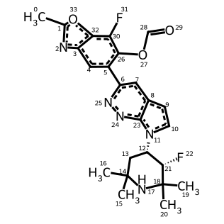 Cc1nc2cc(-c3cc4ccn([C@H]5CC(C)(C)NC(C)(C)[C@H]5F)c4nn3)c(OC=O)c(F)c2o1